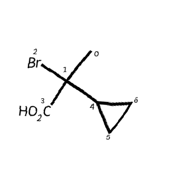 CC(Br)(C(=O)O)C1CC1